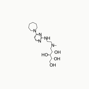 CN(CCNc1nccc(N2CCCCCC2)n1)C[C@H](O)[C@H](O)[C@H](O)CO